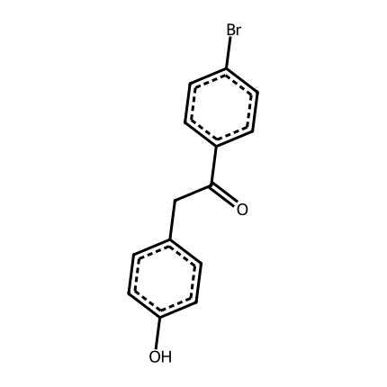 O=C(Cc1ccc(O)cc1)c1ccc(Br)cc1